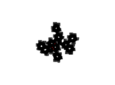 c1ccc(-c2cccc(N(c3cc(-c4ccccc4)c4ccccc4c3)c3ccc(-c4ccccc4)cc3-c3ccc4c(ccc5ccc6ccccc6c54)c3)c2)cc1